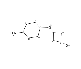 NC1CCC(O[C@H]2C[C@@H](O)C2)CC1